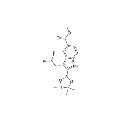 COC(=O)c1ccc2[nH]c(B3OC(C)(C)C(C)(C)O3)c(CC(F)F)c2c1